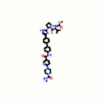 CNC(=O)N1CCN(c2ccc(C(=O)Nc3ccc(-c4ccc(-c5c[nH]c([C@@H]6CCCN6C(=O)[C@@H](NC(=O)OC)C(C)C)n5)cc4)cc3)cn2)CC1